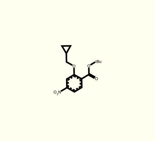 CC(C)(C)OC(=O)c1ccc([N+](=O)[O-])cc1OCC1CC1